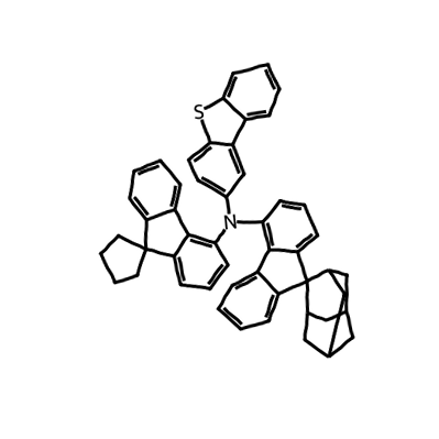 c1ccc2c(c1)-c1c(N(c3ccc4sc5ccccc5c4c3)c3cccc4c3-c3ccccc3C43C4CC5CC(C4)CC3C5)cccc1C21CCCC1